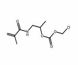 C=C(C)C(=O)NCC(C)OC(=O)OCCl